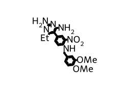 CCc1nc(N)nc(N)c1-c1ccc(NCc2ccc(OC)c(OC)c2)c([N+](=O)[O-])c1